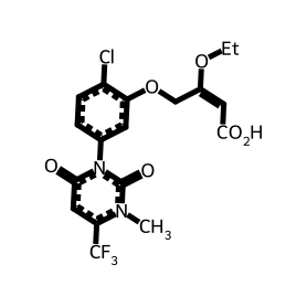 CCO/C(=C/C(=O)O)COc1cc(-n2c(=O)cc(C(F)(F)F)n(C)c2=O)ccc1Cl